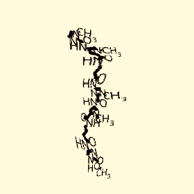 CCOC(=O)c1nc(NC(=O)CCCNC(=O)c2cc(NC(=O)c3nc(NC(=O)CCNC(=O)c4cc(NC(=O)c5nccn5C)cn4C)cn3C)cn2C)c[nH]1